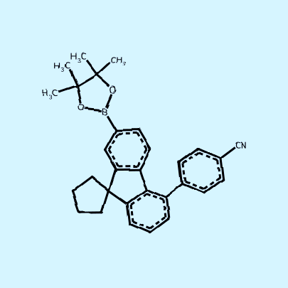 CC1(C)OB(c2ccc3c(c2)C2(CCCC2)c2cccc(-c4ccc(C#N)cc4)c2-3)OC1(C)C